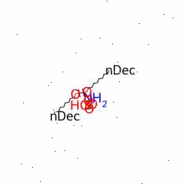 CCCCCCCCCCCCCCCCCCOC(C)(C)C(C)(CN)OCCCCCCCCCCCCCCCCCC.COS(=O)(=O)O